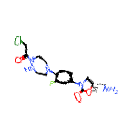 NC[C@H]1CN(c2ccc(N3CCNN(C(=O)CCl)CC3)c(F)c2)C(=O)O1